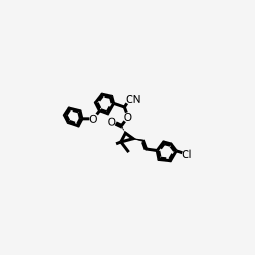 CC1(C)[C@H](/C=C/c2ccc(Cl)cc2)[C@H]1C(=O)OC(C#N)c1cccc(Oc2ccccc2)c1